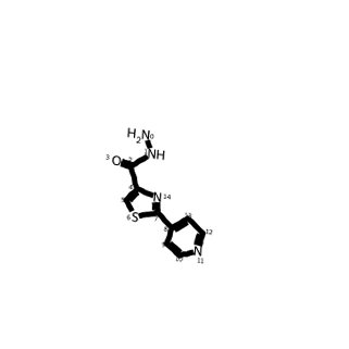 NNC(=O)c1csc(-c2ccncc2)n1